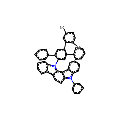 N#Cc1ccc(C#N)c(-c2cc(-c3ccccc3)c(-n3c4ccccc4c4ccc5c(c6ccccc6n5-c5ccccc5)c43)cc2-c2ccccc2)c1